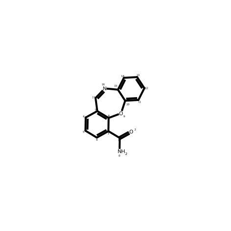 NC(=O)c1cccc2c1Oc1ccccc1N=C2